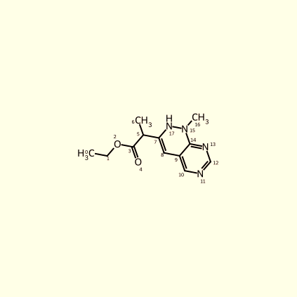 CCOC(=O)C(C)C1=Cc2cncnc2N(C)N1